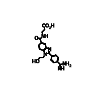 N=C(N)c1ccc(-c2nc3cc(C(=O)NCCC(=O)O)ccc3n2CCO)cc1